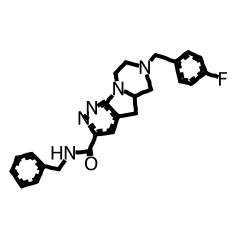 O=C(NCc1ccccc1)c1cc2c(nn1)N1CCN(Cc3ccc(F)cc3)CC1C2